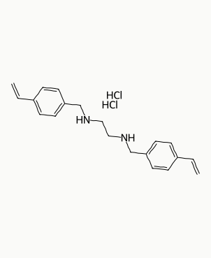 C=Cc1ccc(CNCCNCc2ccc(C=C)cc2)cc1.Cl.Cl